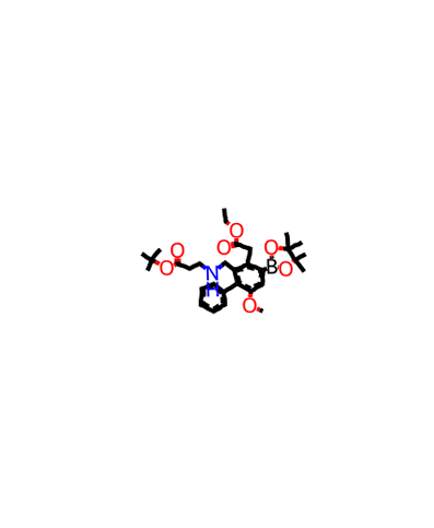 CCOC(=O)Cc1c(B2OC(C)(C)C(C)(C)O2)cc(OC)c(-c2ccccc2)c1CNCCC(=O)OC(C)(C)C